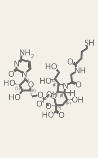 Nc1ccn([C@@H]2O[C@H](COP(=O)(O)O[C@@]3(C(=O)O)C[C@@H](O)[C@@H]4C(O3)[C@@H]([C@H](O)CO)N4C(=O)CNC(=O)CCCS)C(O)[C@@H]2O)c(=O)n1